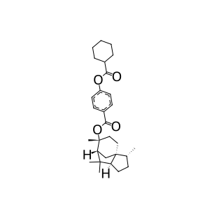 C[C@@H]1CC[C@H]2C(C)(C)[C@H]3C[C@@]12CC[C@@]3(C)OC(=O)c1ccc(OC(=O)C2CCCCC2)cc1